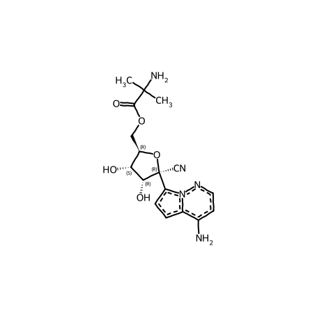 CC(C)(N)C(=O)OC[C@H]1O[C@@](C#N)(c2ccc3c(N)ccnn23)[C@H](O)[C@@H]1O